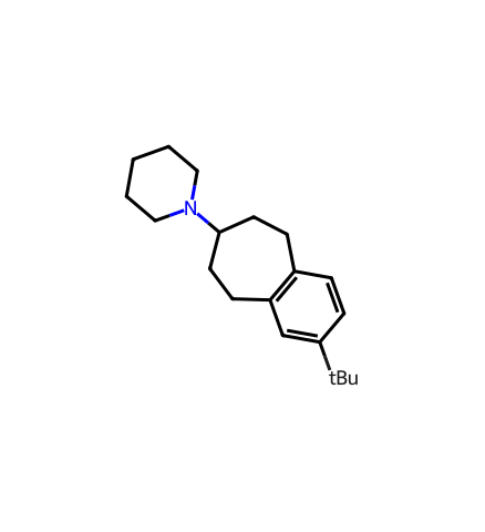 CC(C)(C)c1ccc2c(c1)CCC(N1CCCCC1)CC2